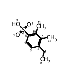 CCc1ccc(S(=O)(=O)O)c(C)c1C